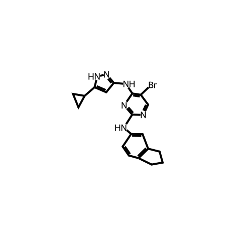 Brc1cnc(Nc2ccc3c(c2)CCC3)nc1Nc1cc(C2CC2)[nH]n1